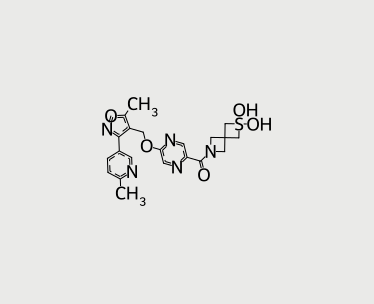 Cc1ccc(-c2noc(C)c2COc2cnc(C(=O)N3CC4(C3)CS(O)(O)C4)cn2)cn1